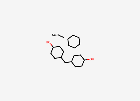 C1CCCCC1.COC.OC1CCC(CC2CCC(O)CC2)CC1